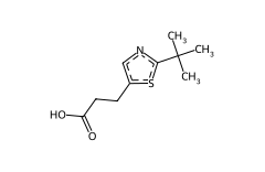 CC(C)(C)c1ncc(CCC(=O)O)s1